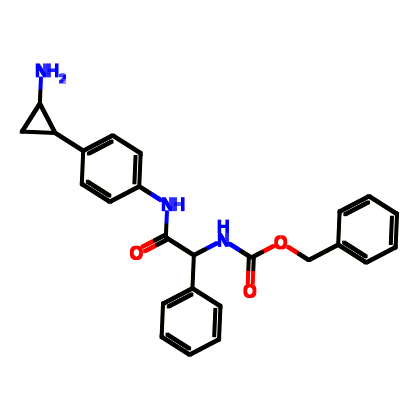 NC1CC1c1ccc(NC(=O)C(NC(=O)OCc2ccccc2)c2ccccc2)cc1